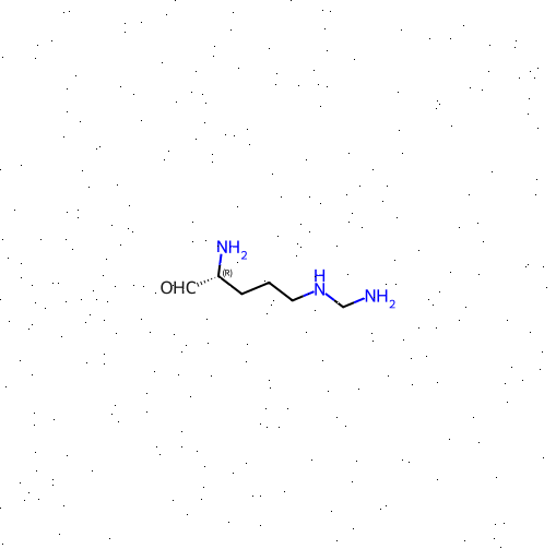 NCNCCC[C@@H](N)C=O